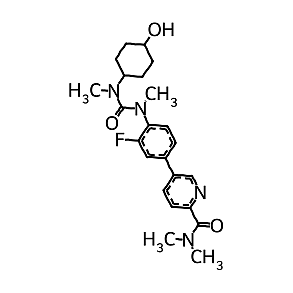 CN(C)C(=O)c1ccc(-c2ccc(N(C)C(=O)N(C)C3CCC(O)CC3)c(F)c2)cn1